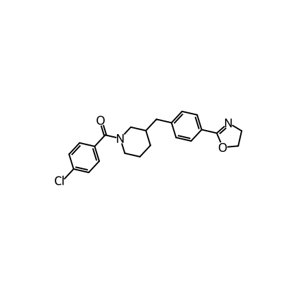 O=C(c1ccc(Cl)cc1)N1CCCC(Cc2ccc(C3=NCCO3)cc2)C1